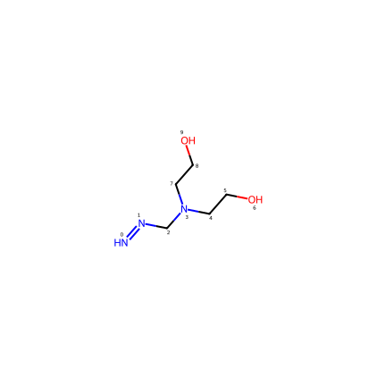 N=NCN(CCO)CCO